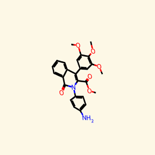 COC(=O)c1c(-c2cc(OC)c(OC)c(OC)c2)c2ccccc2c(=O)n1-c1ccc(N)cc1